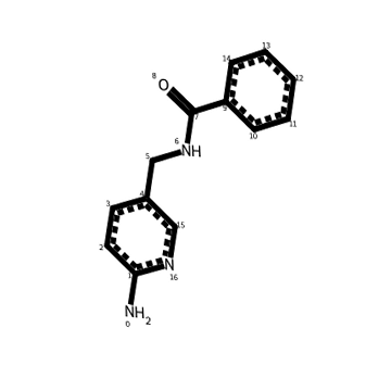 Nc1ccc(CNC(=O)c2ccccc2)cn1